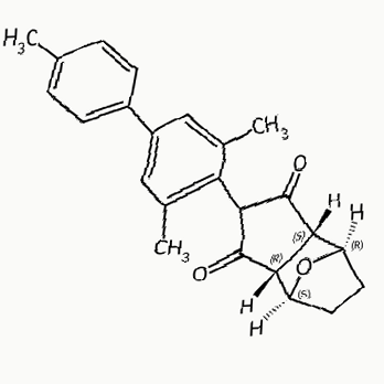 Cc1ccc(-c2cc(C)c(C3C(=O)[C@@H]4[C@H](C3=O)[C@H]3CC[C@@H]4O3)c(C)c2)cc1